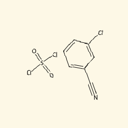 N#Cc1cccc(Cl)c1.O=S(=O)(Cl)Cl